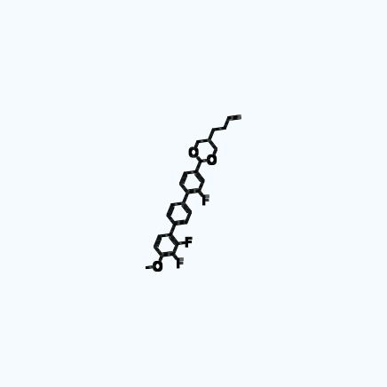 C=CCCC1COC(c2ccc(-c3ccc(-c4ccc(OC)c(F)c4F)cc3)c(F)c2)OC1